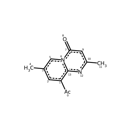 CC(=O)c1cc(C)cn2c(=O)cc(C)nc12